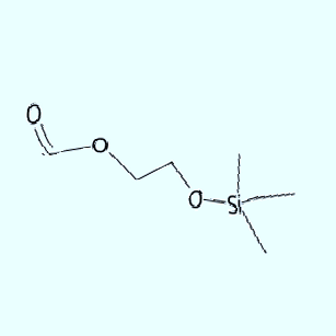 C[Si](C)(C)OCCO[C]=O